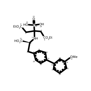 CCOC(=O)CC(CC(=O)OCC)(N[C@@H](Cc1ccc(-c2cccc(OC)c2)cc1)C(=O)O)P(=O)(O)O